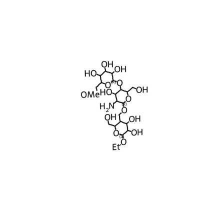 CCO[C@H]1OC(CO)C(CO[C@@H]2OC(CO)C(O[C@H]3OC(COC)C(O)C(O)C3O)C(O)C2N)C(O)C1O